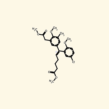 COC(=O)CCC/C=C(/c1cc(C)c(OC)c(CC(=O)OC)c1)c1cc(Cl)ccc1OC